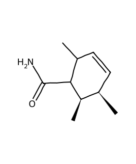 CC1C=C[C@@H](C)[C@@H](C)C1C(N)=O